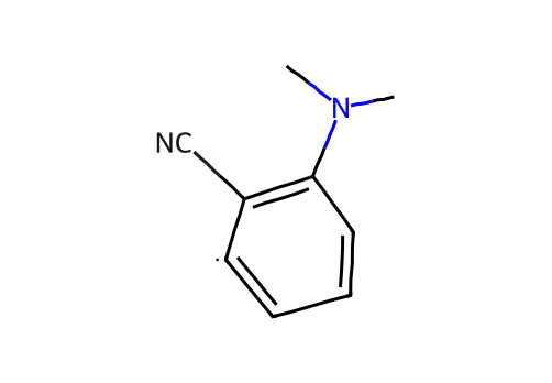 CN(C)c1ccc[c]c1C#N